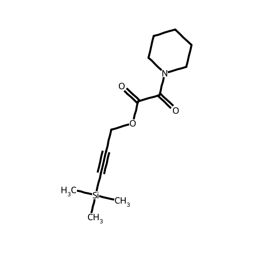 C[Si](C)(C)C#CCOC(=O)C(=O)N1CCCCC1